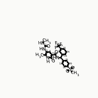 CNC(=O)Nc1cc(C(=O)NC(c2ccc(S(C)(=O)=O)cc2)c2cccc(C(F)(F)F)c2)c(=O)[nH]c1C